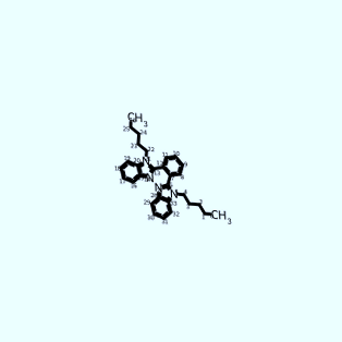 CCCCCn1c(-c2ccccc2-c2nc3ccccc3n2CCCCC)nc2ccccc21